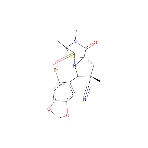 CN1C(=O)[C@@]23C[C@](C)(C#N)C(c4cc5c(cc4Br)OCO5)N2C(=O)C1(C)SS3